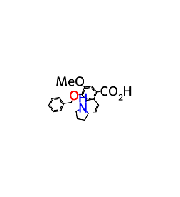 COc1cc(C(=O)O)c(/C=C\[C@@H]2CCCN2)cc1OCc1ccccc1